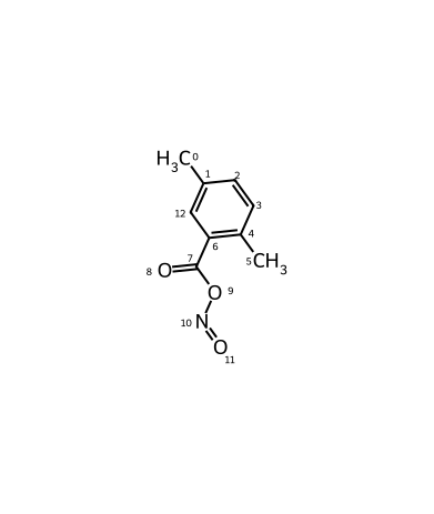 Cc1ccc(C)c(C(=O)ON=O)c1